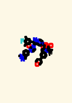 Cc1cc(-c2nn3c(c2-n2ccn(-c4ccc5c(cnn5C)c4)c2=O)CN(C(=O)c2cc4cc(C5CCOCC5)ccc4n2[C@@]2(C(=O)O)C[C@@H]2C)CC3)cc(C)c1F